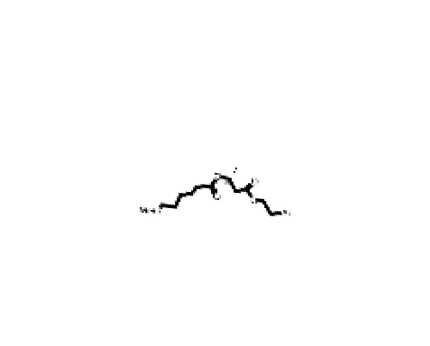 COCCCCCC(=O)O[C@H](C)CC(=O)OCCC(C)=O